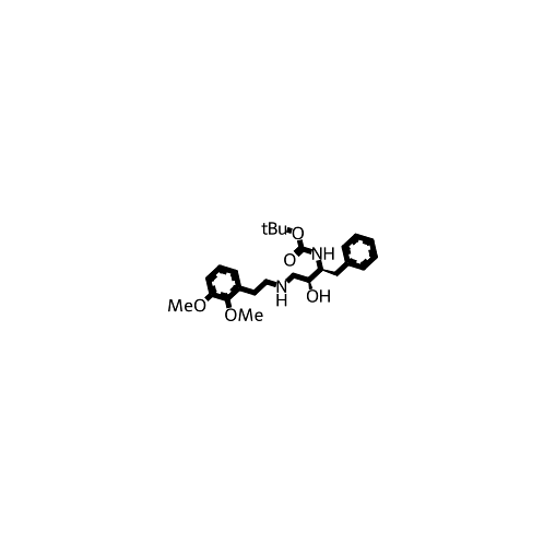 COc1cccc(CCNC[C@H](O)[C@H](Cc2ccccc2)NC(=O)OC(C)(C)C)c1OC